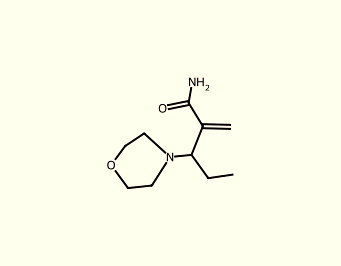 C=C(C(N)=O)C(CC)N1CCOCC1